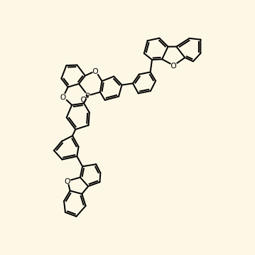 O=P12c3ccc(-c4cccc(-c5cccc6c5oc5ccccc56)c4)cc3Oc3cccc(c31)Oc1cc(-c3cccc(-c4cccc5c4oc4ccccc45)c3)ccc12